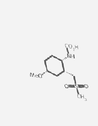 CO[C@@H]1CC[C@H](NC(=O)O)[C@H](CS(C)(=O)=O)C1